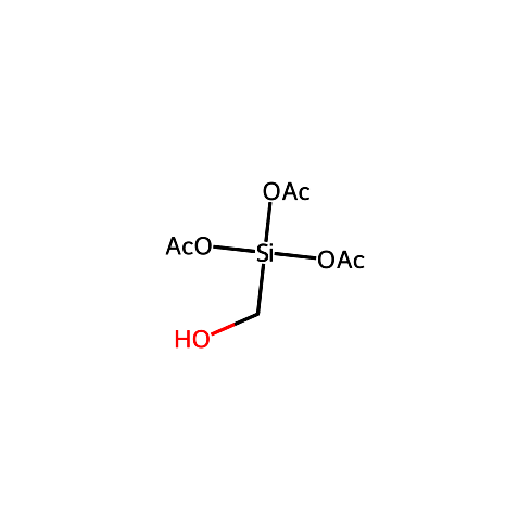 CC(=O)O[Si](CO)(OC(C)=O)OC(C)=O